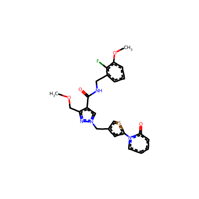 COCc1nn(Cc2csc(-n3ccccc3=O)c2)cc1C(=O)NCc1cccc(OC)c1F